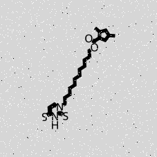 CC1CC(C)C(C(=O)OCCCCCCCCCCCCn2ccc(=S)[nH]c2=S)C1